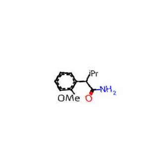 COc1ccccc1C(C(N)=O)C(C)C